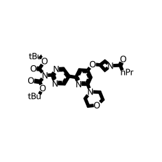 CCCC(=O)N1CC(Oc2cc(-c3cnc(N(C(=O)OC(C)(C)C)C(=O)OC(C)(C)C)nc3)nc(N3CCOCC3)c2)C1